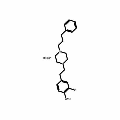 COc1ccc(CCN2CCN(CCCc3ccccc3)CC2)cc1Cl.Cl.Cl